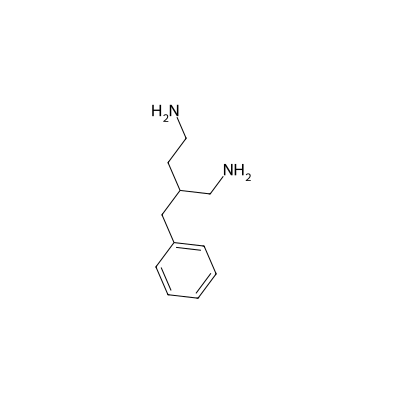 NCCC(CN)Cc1ccccc1